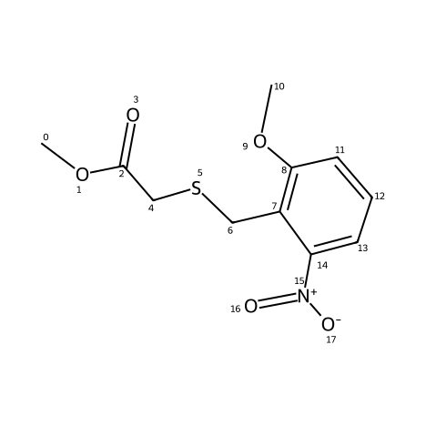 COC(=O)CSCc1c(OC)cccc1[N+](=O)[O-]